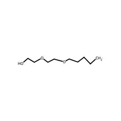 [CH2]CCCCOCCOCCO